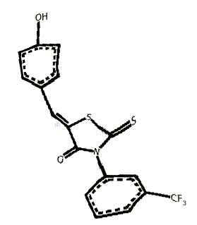 O=C1/C(=C/c2ccc(O)cc2)SC(=S)N1c1cccc(C(F)(F)F)c1